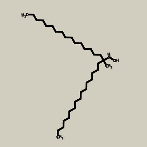 CCCCCCCCCCCCCCCCC(C)(CCCCCCCCCCCCCCCC)NO